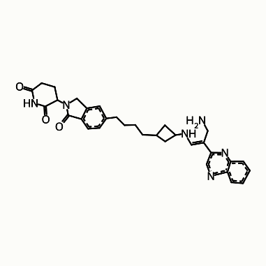 NC/C(=C\NC1CC(CCCCc2ccc3c(c2)CN(C2CCC(=O)NC2=O)C3=O)C1)c1cnc2ccccc2n1